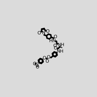 C[C@H](NC(=O)CNC(=O)C1CCC(CN2C(=O)C=CC2=O)CC1)C(=O)Nc1ccc(COC(=O)Oc2ccc([N+](=O)[O-])cc2)cc1